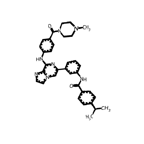 CC(C)c1ccc(C(=O)Nc2cccc(-c3cn4ccnc4c(Nc4ccc(C(=O)N5CCN(C)CC5)cc4)n3)c2)cc1